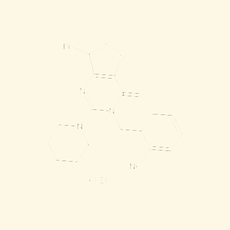 CCOC(=O)[C@@H]1CCCN(c2nc3c(Br)csc3c(=O)n2Cc2ccccc2C#N)C1